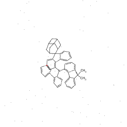 CC1(C)c2ccccc2-c2c(N(c3ccccc3-c3ccccc3)c3cccc4c3-c3ccccc3C43C4CC5CC(C4)CC3C5)cccc21